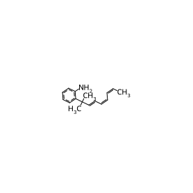 C\C=C/C=C\C=C\C(C)(C)c1ccccc1N